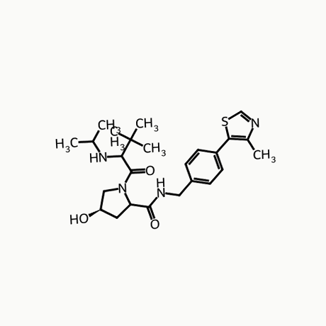 Cc1ncsc1-c1ccc(CNC(=O)C2C[C@@H](O)CN2C(=O)C(NC(C)C)C(C)(C)C)cc1